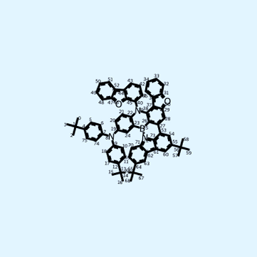 CC(C)(C)c1ccc(N(c2ccc(C(C)(C)C)cc2)c2ccc3c(c2)B2c4c(cc5oc6ccccc6c5c4N3c3cccc4c3oc3ccccc34)-c3cc(C(C)(C)C)cc4c5cc(C(C)(C)C)ccc5n2c34)cc1